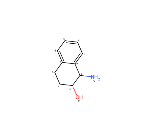 NC1c2ccccc2CC[C@H]1O